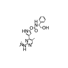 Cc1cnc(NN(C)C)nc1-c1c[nH]c(OC(=O)NC(CO)c2ccccc2)c1